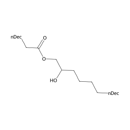 CCCCCCCCCCCCCCC(O)COC(=O)CCCCCCCCCCC